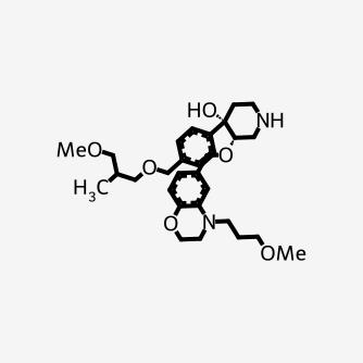 COCCCN1CCOc2ccc(CO[C@H]3CNCC[C@]3(O)c3ccc(COCC(C)COC)cc3)cc21